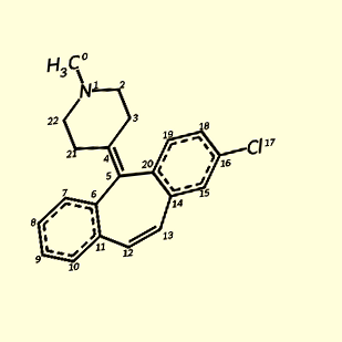 CN1CCC(=C2c3ccccc3C=Cc3cc(Cl)ccc32)CC1